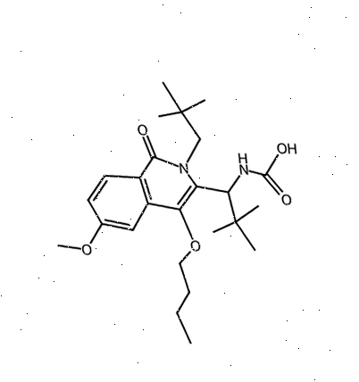 CCCCOc1c(C(NC(=O)O)C(C)(C)C)n(CC(C)(C)C)c(=O)c2ccc(OC)cc12